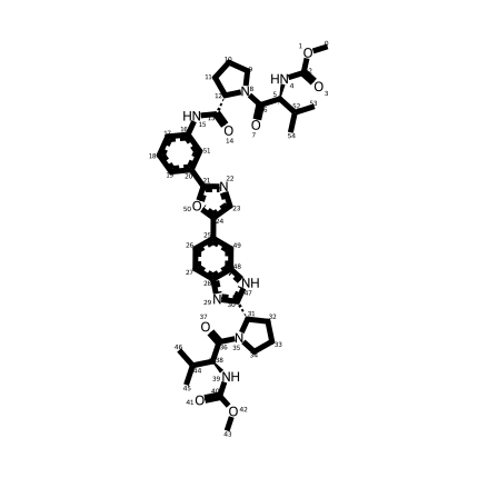 COC(=O)N[C@H](C(=O)N1CCC[C@H]1C(=O)Nc1cccc(-c2ncc(-c3ccc4nc([C@@H]5CCCN5C(=O)[C@@H](NC(=O)OC)C(C)C)[nH]c4c3)o2)c1)C(C)C